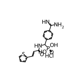 Cl.N=C(N)c1ccc(C(NC(=O)C=Cc2cccs2)P(=O)(O)O)cc1